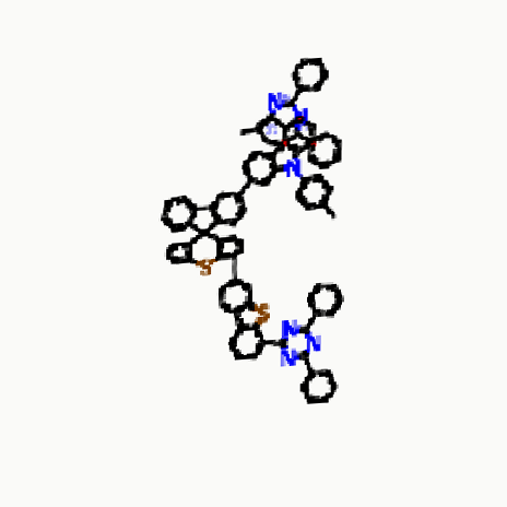 C\C1=C(c2cccc3c2c2ccc(-c4ccc5c(c4)-c4ccccc4C54c5ccccc5Sc5c(-c6ccc7c(c6)sc6c(-c8nc(-c9ccccc9)nc(-c9ccccc9)n8)cccc67)cccc54)cc2n3-c2ccc(C)cc2)/N=C(c2ccccc2)\N=C(\c2ccccc2)CC1